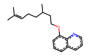 CC(C)=CCCC(C)CCOc1cccc2cccnc12